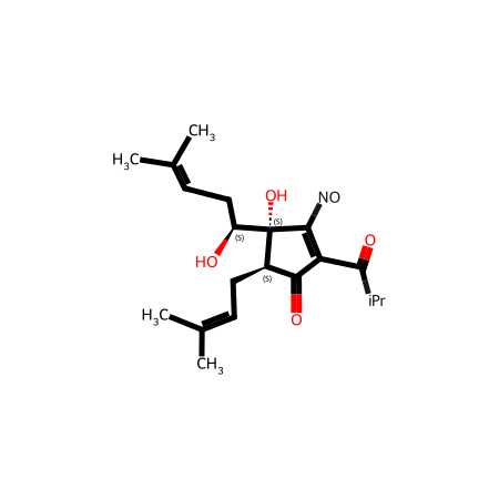 CC(C)=CC[C@@H]1C(=O)C(C(=O)C(C)C)=C(N=O)[C@]1(O)[C@@H](O)CC=C(C)C